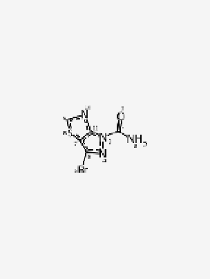 NC(=O)n1nc(Br)c2s[c]nc21